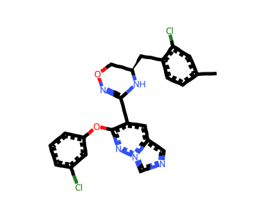 Cc1ccc(C[C@@H]2CON=C(c3cc4cncn4nc3Oc3cccc(Cl)c3)N2)c(Cl)c1